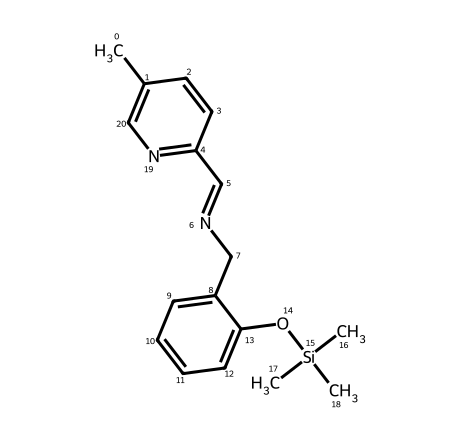 Cc1ccc(C=NCc2ccccc2O[Si](C)(C)C)nc1